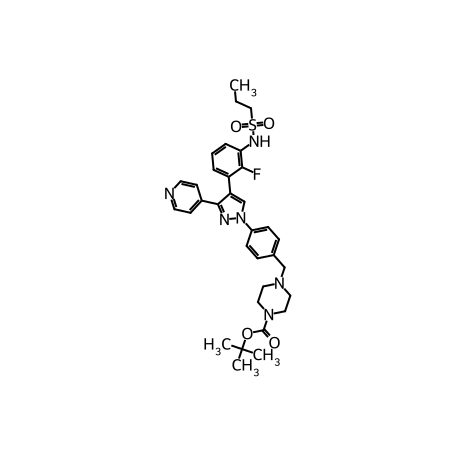 CCCS(=O)(=O)Nc1cccc(-c2cn(-c3ccc(CN4CCN(C(=O)OC(C)(C)C)CC4)cc3)nc2-c2ccncc2)c1F